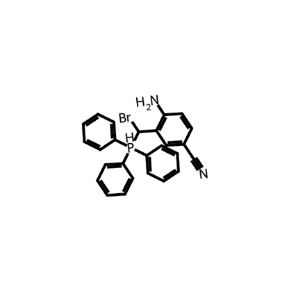 N#Cc1ccc(N)c(C(Br)[PH](c2ccccc2)(c2ccccc2)c2ccccc2)c1